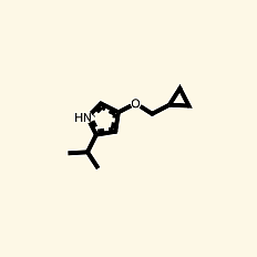 CC(C)c1cc(OCC2CC2)c[nH]1